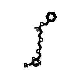 C[C@H](CCOCCOCc1ncc(Br)s1)OCc1ccccc1